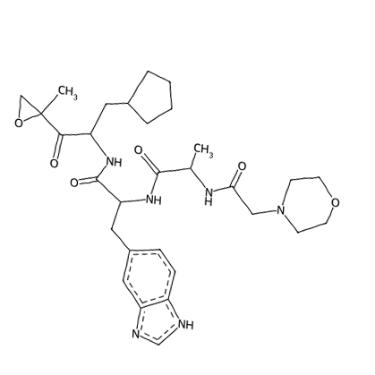 CC(NC(=O)CN1CCOCC1)C(=O)NC(Cc1ccc2[nH]cnc2c1)C(=O)NC(CC1CCCC1)C(=O)C1(C)CO1